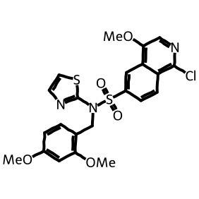 COc1ccc(CN(c2nccs2)S(=O)(=O)c2ccc3c(Cl)ncc(OC)c3c2)c(OC)c1